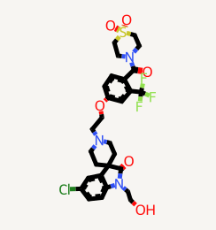 O=C(c1ccc(OCCN2CCC3(CC2)C(=O)N(CCO)c2ccc(Cl)cc23)cc1C(F)(F)F)N1CCS(=O)(=O)CC1